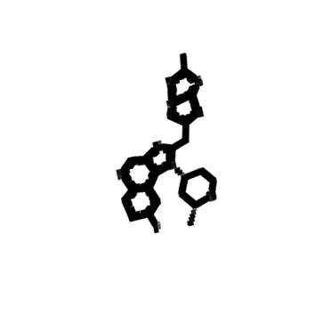 Cc1nn2cc(Cc3nc4cnc5ccc(F)cc5c4n3[C@@H]3CCO[C@H](C)C3)nc2s1